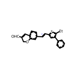 CCc1sc(/C=C/c2ccc3c(c2)OCC(C=O)=C3)cc1-c1ccccc1